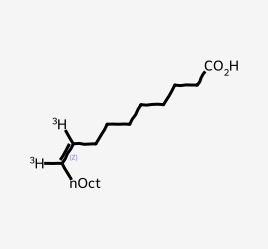 [3H]/C(CCCCCCCC)=C(\[3H])CCCCCCCC(=O)O